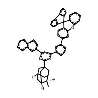 C[C@@H]1C2C[C@@H]3C[C@@H]1CC(c1nc(-c4cccc(-c5ccc6c(c5)Oc5ccccc5C65c6ccccc6-c6ccccc65)c4)nc(-c4ccc5ccccc5c4)n1)(C2)C3